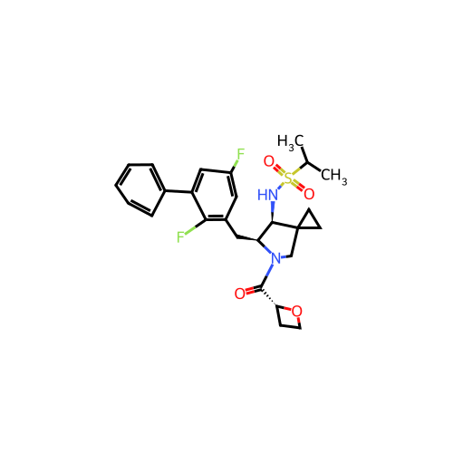 CC(C)S(=O)(=O)N[C@@H]1[C@H](Cc2cc(F)cc(-c3ccccc3)c2F)N(C(=O)[C@H]2CCO2)CC12CC2